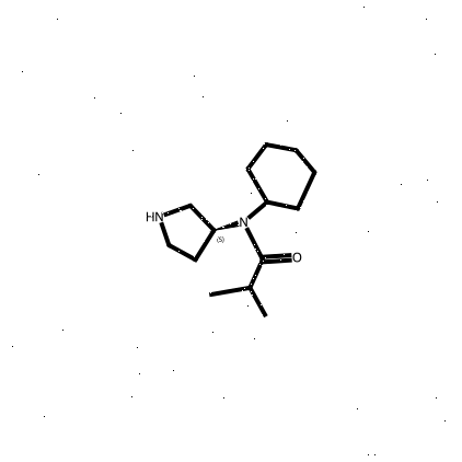 CC(C)C(=O)N(C1CCCCC1)[C@H]1CCNC1